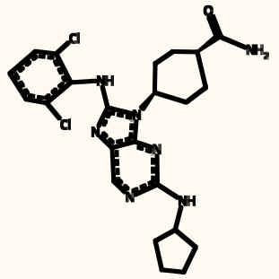 NC(=O)[C@H]1CC[C@@H](n2c(Nc3c(Cl)cccc3Cl)nc3cnc(NC4CCCC4)nc32)CC1